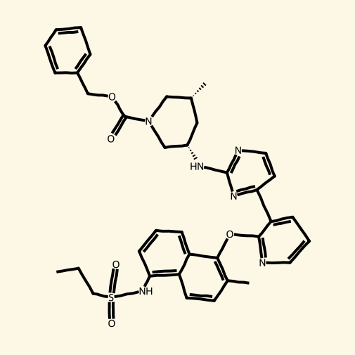 CCCS(=O)(=O)Nc1cccc2c(Oc3ncccc3-c3ccnc(N[C@H]4C[C@@H](C)CN(C(=O)OCc5ccccc5)C4)n3)c(C)ccc12